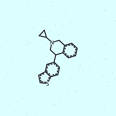 c1ccc2c(c1)CN(C1CC1)CC2c1ccc2sccc2c1